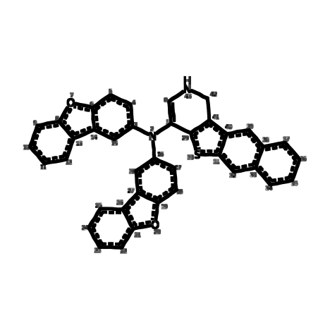 C1=C(N(c2ccc3oc4ccccc4c3c2)c2ccc3oc4ccccc4c3c2)c2sc3cc4ccccc4cc3c2CN1